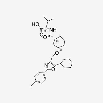 Cc1ccc(-c2nc(CO[C@H]3CCC[C@@H](C(=O)N[C@H](C(=O)O)C(C)C)C3)c(C3CCCCC3)o2)cc1